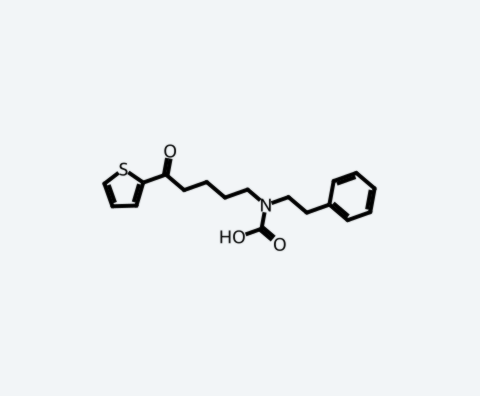 O=C(CCCCN(CCc1ccccc1)C(=O)O)c1cccs1